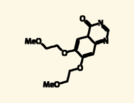 COCCOC1=CC2=NC=NC(=O)C2C=C1OCCOC